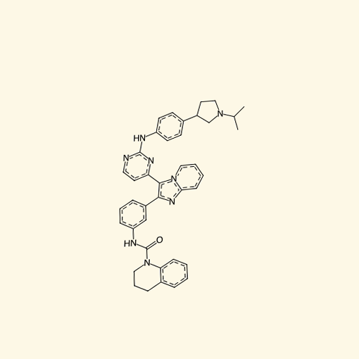 CC(C)N1CCC(c2ccc(Nc3nccc(-c4c(-c5cccc(NC(=O)N6CCCc7ccccc76)c5)nc5ccccn45)n3)cc2)C1